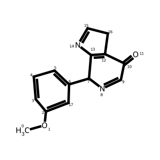 COc1cccc(C2N=CC(=O)C3=C2N=CC3)c1